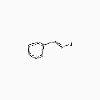 Cl[N+]=Cc1ccccc1